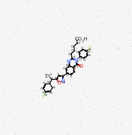 CCC(c1cc(-c2ccc3c(=O)n(-c4ccc(F)cc4)c(CCCCC(=O)O)nc3c2)no1)C1C=CC(F)=CC1